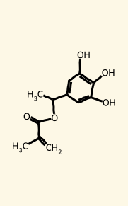 C=C(C)C(=O)OC(C)c1cc(O)c(O)c(O)c1